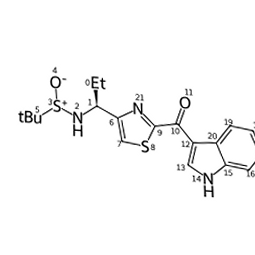 CC[C@H](N[S+]([O-])C(C)(C)C)c1csc(C(=O)c2c[nH]c3ccccc23)n1